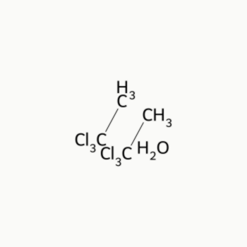 CC(Cl)(Cl)Cl.CC(Cl)(Cl)Cl.O